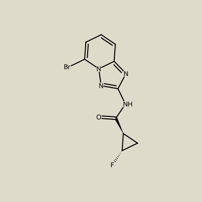 O=C(Nc1nc2cccc(Br)n2n1)[C@H]1C[C@@H]1F